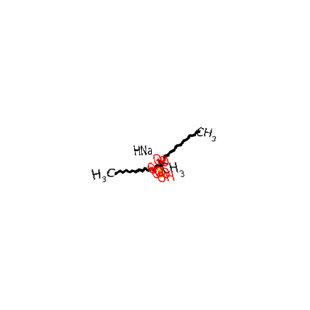 CCCCCCCCCCCCOC(=O)CC(C)(C(=O)OCCCCCCCCCCCC)S(=O)(=O)O.[NaH]